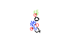 CC1(C)CCN(C(=O)n2nnn(-c3cccc(OC(F)(F)F)c3)c2=O)CC1